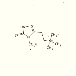 C[N+](C)(C)CCc1c[nH]c(=S)n1C(=O)O